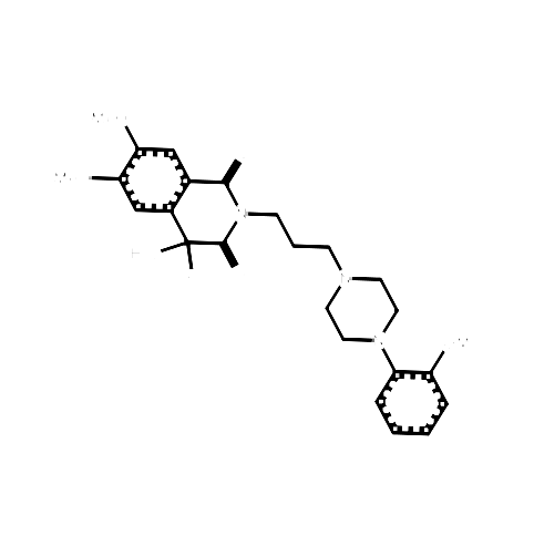 COc1cc2c(cc1OC)C(C)(C)C(=O)N(CCCN1CCN(c3ccccc3OC)CC1)C2=O